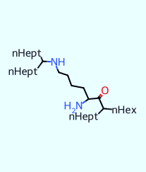 CCCCCCCC(CCCCCCC)NCCCCC(N)C(=O)C(CCCCCC)CCCCCCC